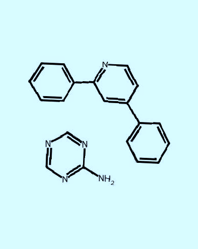 Nc1ncncn1.c1ccc(-c2ccnc(-c3ccccc3)c2)cc1